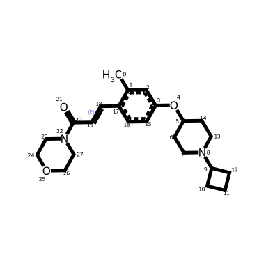 Cc1cc(OC2CCN(C3CCC3)CC2)ccc1/C=C/C(=O)N1CCOCC1